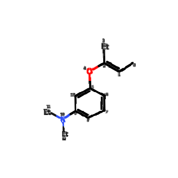 CC=C(CC)Oc1[c]ccc(N(CC)CC)c1